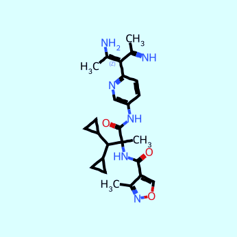 CC(=N)/C(=C(/C)N)c1ccc(NC(=O)C(C)(NC(=O)c2conc2C)C(C2CC2)C2CC2)cn1